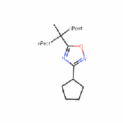 CCCCCC(C)(CCCCC)c1nc(C2CCCC2)no1